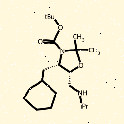 CC(C)NC[C@H]1OC(C)(C)N(C(=O)OC(C)(C)C)[C@H]1CC1CCCCC1